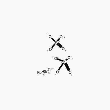 O=P([O-])([O-])[O-].O=P([O-])([O-])[O-].[Rb+].[Rb+].[Ti+4]